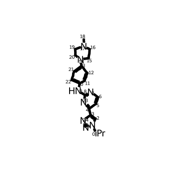 CC(C)n1cc(-c2ccnc(Nc3ccc(N4CCN(C)CC4)cc3)n2)nn1